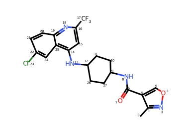 Cc1nocc1C(=O)NC1CCC(Nc2cc(C(F)(F)F)nc3ccc(Cl)cc23)CC1